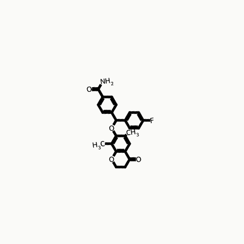 Cc1cc2c(c(C)c1OC(c1ccc(F)cc1)c1ccc(C(N)=O)cc1)OCCC2=O